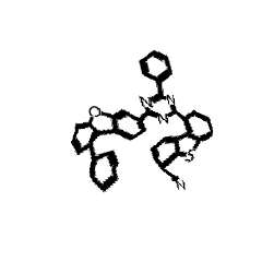 N#Cc1cccc2c1sc1cccc(-c3nc(-c4ccccc4)nc(-c4ccc5c(c4)oc4cccc(-c6ccccc6)c45)n3)c12